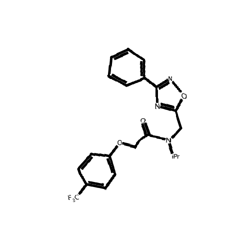 CC(C)N(Cc1nc(-c2ccccc2)no1)C(=O)COc1ccc(C(F)(F)F)cc1